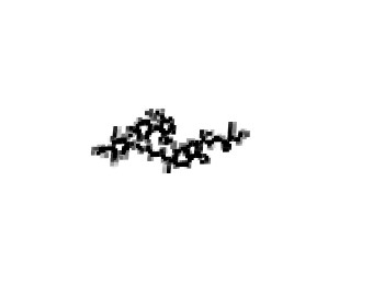 Cc1ccc(-c2c(C)noc2C)cc1N(CCCCNc1ccc2c(c1)CN(C(C)CCC(=O)NC=O)C2=O)c1ccc(C#N)c(Cl)c1